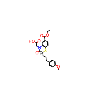 CCOC(=O)c1ccc2c(c1)N(CC(=O)O)C(=O)[C@H](CCCc1ccc(OC)cc1)S2